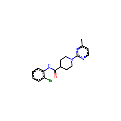 Cc1ccnc(N2CCC(C(=O)Nc3ccccc3Br)CC2)n1